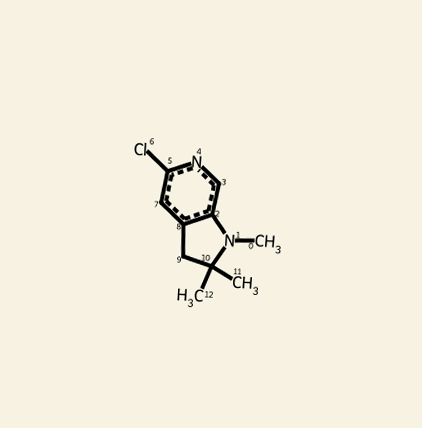 CN1c2cnc(Cl)cc2CC1(C)C